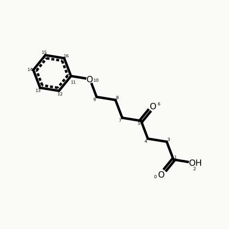 O=C(O)CCC(=O)CCCOc1ccccc1